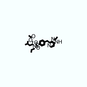 CCCN([C@H](COC(C)=O)CC(C)C)S(=O)(=O)c1ccc(Cc2nccc3[nH]c(C)nc23)cc1